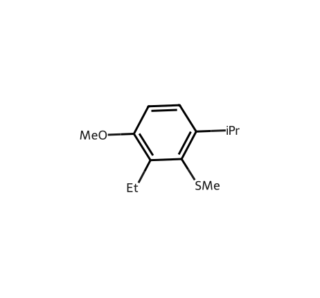 CCc1c(OC)ccc(C(C)C)c1SC